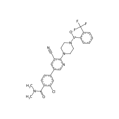 CN(C)C(=O)c1ccc(-c2cnc(N3CCN([S+]([O-])c4ccccc4C(F)(F)F)CC3)c(C#N)c2)cc1Cl